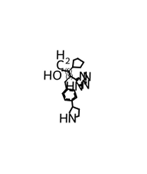 C=C(O)[C@@H](C1CCCC1)[C@H](Cc1ccc(C2CCNC2)cc1)c1nnn[nH]1